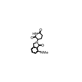 CNc1cccc2c1C(=O)N(C1CCC(=O)NC1=O)C2